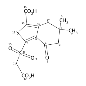 CC1(C)CC(=O)c2c(S(=O)(=O)CC(=O)O)sc(C(=O)O)c2C1